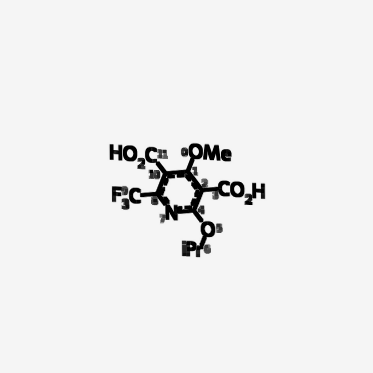 COc1c(C(=O)O)c(OC(C)C)nc(C(F)(F)F)c1C(=O)O